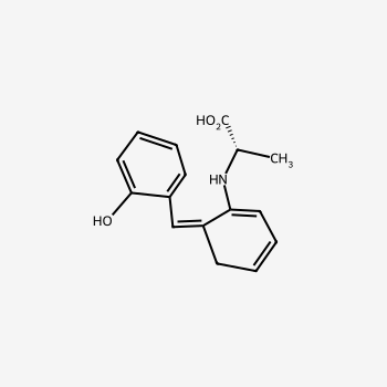 C[C@H](NC1=CC=CCC1=Cc1ccccc1O)C(=O)O